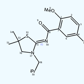 COc1ccc(Cl)cc1C(=O)/N=C1\SC(C)(C)CN1CC(C)C